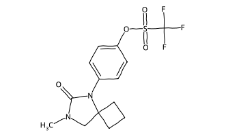 CN1CC2(CCC2)N(c2ccc(OS(=O)(=O)C(F)(F)F)cc2)C1=O